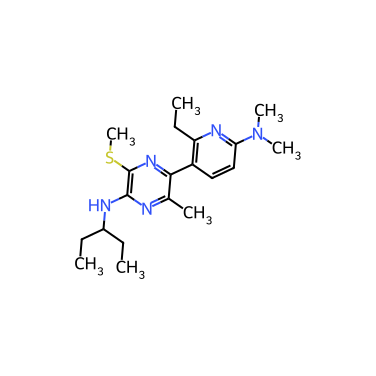 CCc1nc(N(C)C)ccc1-c1nc(SC)c(NC(CC)CC)nc1C